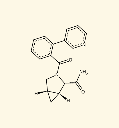 NC(=O)[C@@H]1[C@@H]2C[C@@H]2CN1C(=O)c1ccccc1-c1cccnc1